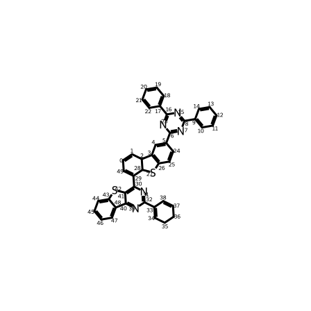 C1=CC2c3cc(-c4nc(-c5ccccc5)nc(-c5ccccc5)n4)ccc3SC2C(c2nc(C3=CCCC=C3)nc3c2sc2ccccc23)=C1